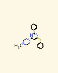 CN1CCN(c2cc(Sc3ccccc3)nc(-c3ccccc3)n2)CC1